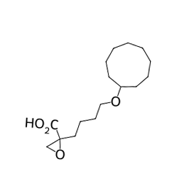 O=C(O)C1(CCCCOC2CCCCCCCC2)CO1